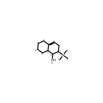 C[N+](C)(C)C1CC=C2CCCCC2C1O